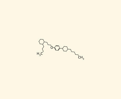 CCCCCCC1CCC(c2ccc(OCCCC3CCCCC3CCCC)cc2)CC1